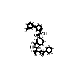 O=C([C@H](O)c1cccc(-c2cccc(Cl)c2)c1)N1CCCc2nc(C3(c4cc(C5CCCCC5)cs4)CC3)[nH]c(=O)c2C1